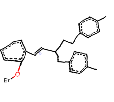 CCOc1ccccc1/C=C/C(CCc1ccc(C)cc1)Cc1ccc(C)cc1